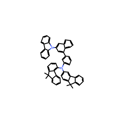 CC1(C)c2ccccc2-c2cc(N(c3cccc(-c4cc(-n5c6ccccc6c6ccccc65)cc5ccccc45)c3)c3cccc4c3-c3ccccc3C4(C)C)ccc21